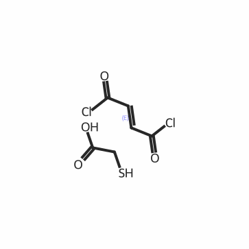 O=C(Cl)/C=C/C(=O)Cl.O=C(O)CS